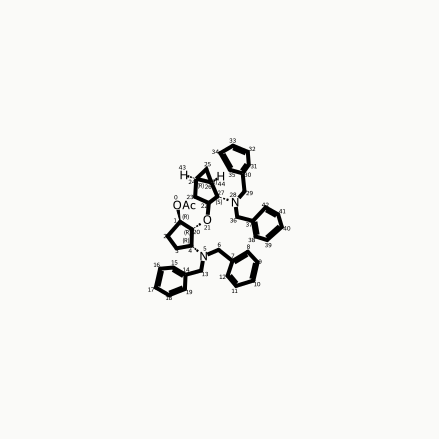 CC(=O)O[C@@H]1CC[C@@H](N(Cc2ccccc2)Cc2ccccc2)[C@H]1OC1C[C@H]2C[C@H]2[C@@H]1N(Cc1ccccc1)Cc1ccccc1